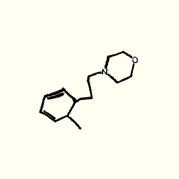 CC1C=CC=CC1CCN1CCOCC1